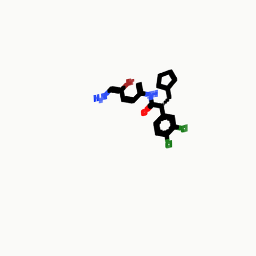 C=C(/C=C\C(Br)=C/N)NC(=O)[C@H](CC1CCCC1)c1ccc(Cl)c(Cl)c1